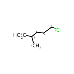 CC(CCCCl)C(=O)O